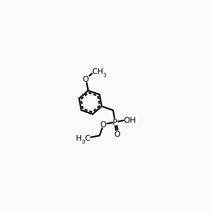 CCOP(=O)(O)Cc1cccc(OC)c1